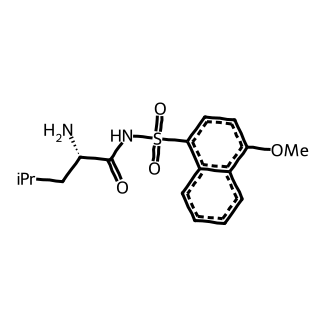 COc1ccc(S(=O)(=O)NC(=O)[C@@H](N)CC(C)C)c2ccccc12